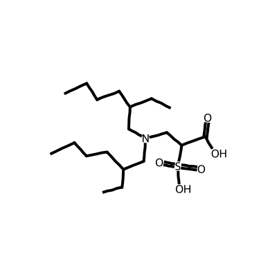 CCCCC(CC)CN(CC(CC)CCCC)CC(C(=O)O)S(=O)(=O)O